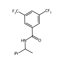 CC(C)C(C)NC(=O)c1cc(C(F)(F)F)cc(C(F)(F)F)c1